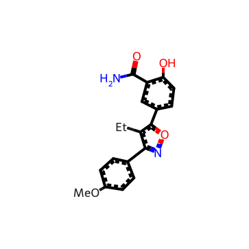 CCc1c(-c2ccc(OC)cc2)noc1-c1ccc(O)c(C(N)=O)c1